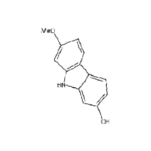 COc1ccc2c(c1)[nH]c1cc(O)ccc12